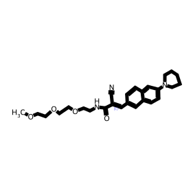 COCCOCCOCCNC(=O)/C(C#N)=C/c1ccc2cc(N3CCCCC3)ccc2c1